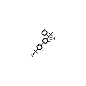 Cc1cc(-c2ccc(C(C)(C)C#N)cc2)ccc1C(O)(c1cncnc1)C(C)(C)C